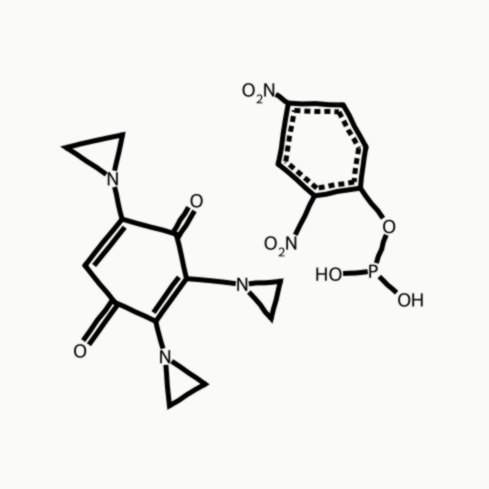 O=C1C=C(N2CC2)C(=O)C(N2CC2)=C1N1CC1.O=[N+]([O-])c1ccc(OP(O)O)c([N+](=O)[O-])c1